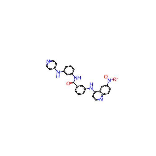 O=C(Nc1cccc(Nc2ccncc2)c1)c1cccc(Nc2ccnc3ccc([N+](=O)[O-])cc23)c1